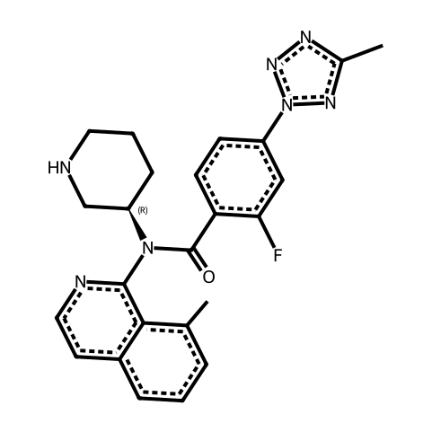 Cc1nnn(-c2ccc(C(=O)N(c3nccc4cccc(C)c34)[C@@H]3CCCNC3)c(F)c2)n1